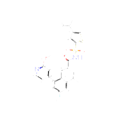 COc1cc(-c2cc(F)cc(C(C)C)c2CCC(=O)NS(=O)(=O)c2cc(C(C)C)cs2)ccn1